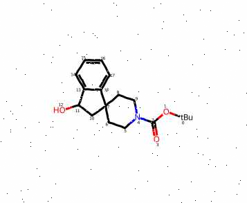 CC(C)(C)OC(=O)N1CCC2(CC1)CC(O)c1ccccc12